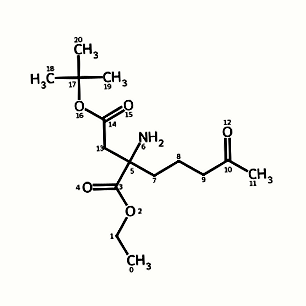 CCOC(=O)C(N)(CCCC(C)=O)CC(=O)OC(C)(C)C